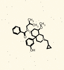 COC1C[C@@H](N(CC(C)C)C(=O)c2ccccc2)CC2(c3cccc(O)c3)CCN(CC3CC3)CC12